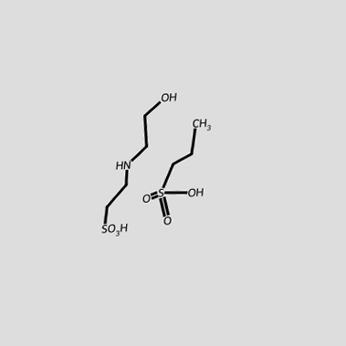 CCCS(=O)(=O)O.O=S(=O)(O)CCNCCO